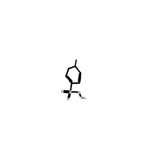 CC1C=CC(S(=O)(=O)OC(C)(C)C)=CC1